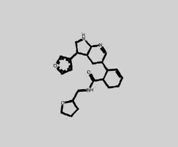 O=C(NCC1CCCO1)C1CCC=CC1C1C=NC2NCC(c3ccoc3)C2C1